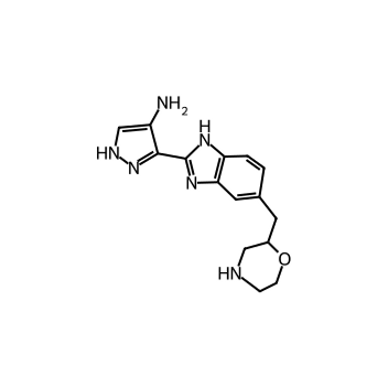 Nc1c[nH]nc1-c1nc2cc(CC3CNCCO3)ccc2[nH]1